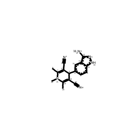 CC1=C(C#N)C(c2ccc3[nH]nc(N)c3c2)C(C#N)=C(C)N1C